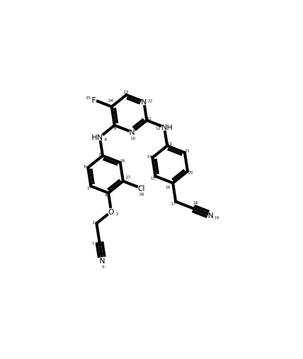 N#CCOc1ccc(Nc2nc(Nc3ccc(CC#N)cc3)ncc2F)cc1Cl